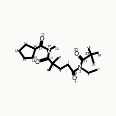 CCN(C(=O)CCC(C)(C)C(=O)N(C)C(=O)C1CCCC1)C(=O)C(C)(C)C